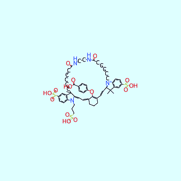 CC1(C)C2=[N+](CCCCCC(=O)NCCNC(=O)CCCCCC3(C)/C(=C/C=C4\CCCC(=C4Oc4ccc(C(=O)O)cc4)/C=C/2)N(CCCS(=O)(=O)O)c2ccc(S(=O)(=O)O)cc23)c2ccc(S(=O)(=O)O)cc21